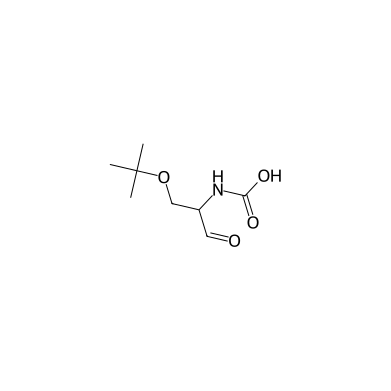 CC(C)(C)OCC(C=O)NC(=O)O